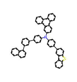 c1cc(-c2ccc(N(c3ccc(-c4ccc5sc6ccccc6c5c4)cc3)c3ccc4c5ccccc5c5ccccc5c4c3)cc2)cc(-c2cccc3ccccc23)c1